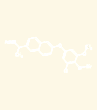 CC(=O)NC(C)c1ccc2cc(Oc3cc(Cl)c(OC(C)C)c(OC(F)(F)F)c3)ccc2c1